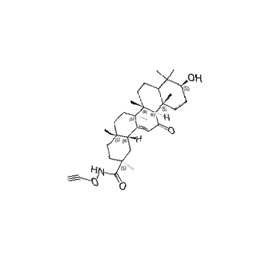 C#CONC(=O)[C@@]1(C)CC[C@]2(C)CC[C@]3(C)C(=CC(=O)[C@@H]4[C@@]5(C)CC[C@H](O)C(C)(C)C5CC[C@]43C)[C@@H]2C1